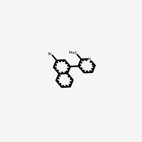 CSc1ncccc1-c1cc(Br)cc2ccccc12